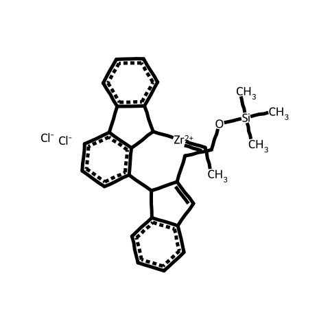 C[CH]=[Zr+2][CH]1c2ccccc2-c2cccc(C3C(CCO[Si](C)(C)C)=Cc4ccccc43)c21.[Cl-].[Cl-]